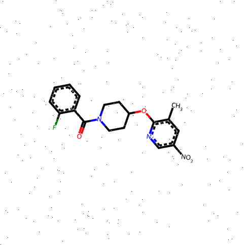 Cc1cc([N+](=O)[O-])cnc1OC1CCN(C(=O)c2ccccc2F)CC1